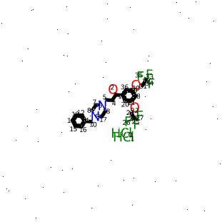 Cl.Cl.O=C(CCN1CCN(Cc2ccccc2)CC1)c1cc(OCC(F)(F)F)cc(OCC(F)(F)F)c1